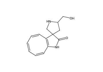 O=C1NC2=C(\C=C/C=C\C=C/2)C12CNC(CO)C2